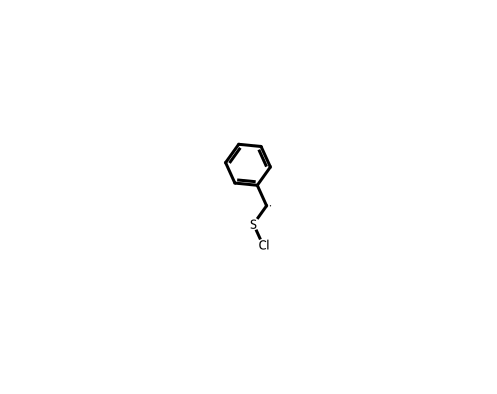 ClS[CH]c1ccccc1